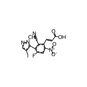 Cn1ncc(I)c1-c1c(F)cc([N+](=O)[O-])c(/C=C/C(=O)O)c1C#N